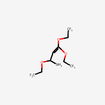 FC(F)(F)COC(=CC([SiH3])OCC(F)(F)F)OCC(F)(F)F